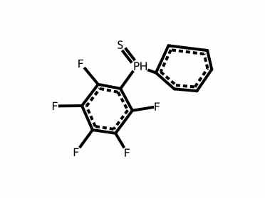 Fc1c(F)c(F)c([PH](=S)c2ccccc2)c(F)c1F